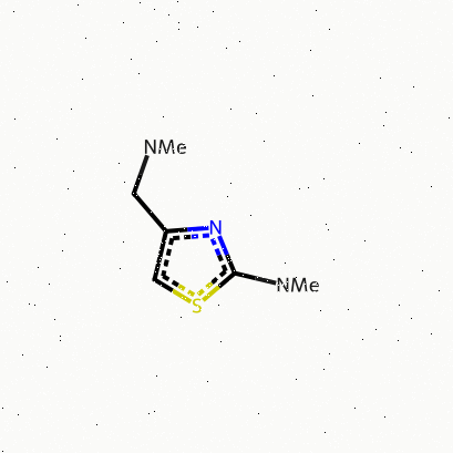 CNCc1csc(NC)n1